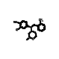 CN1C[C@@H](N(Cc2ccccc2C(F)(F)F)c2ccc(C#N)c(Cl)c2)CCO1